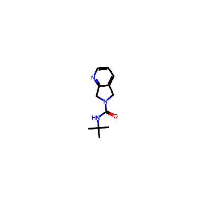 CC(C)(C)NC(=O)N1Cc2cccnc2C1